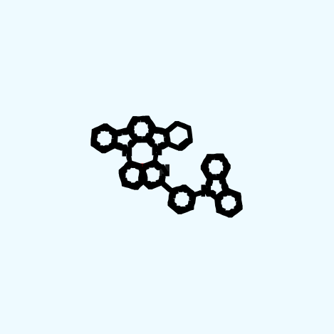 C1=Cc2c(c3ccc4c5ccccc5n(-c5ccccc5)c4c3n2-c2cccc(-c3cccc(-n4c5ccccc5c5ccccc54)c3)n2)CC1